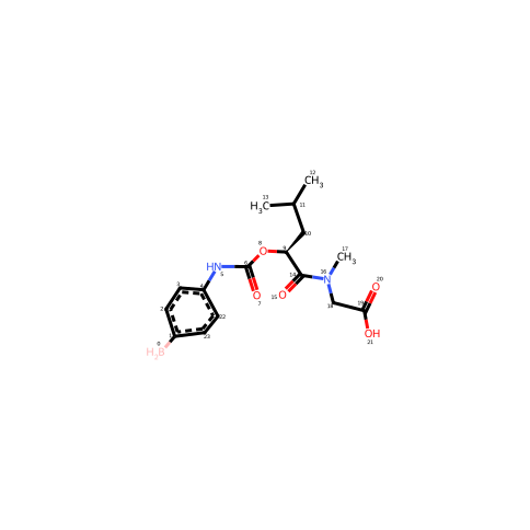 Bc1ccc(NC(=O)O[C@@H](CC(C)C)C(=O)N(C)CC(=O)O)cc1